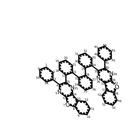 c1ccc(-c2nc3oc4ccccc4c3nc2-c2ccccc2-c2ccccc2-c2ccccc2-c2nc3c(nc2-c2ccccc2)oc2ccccc23)cc1